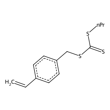 C=Cc1ccc(CSC(=S)SCCC)cc1